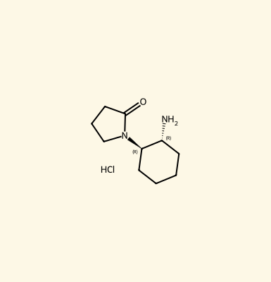 Cl.N[C@@H]1CCCC[C@H]1N1CCCC1=O